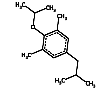 Cc1cc(CC(C)C)cc(C)c1OC(C)C